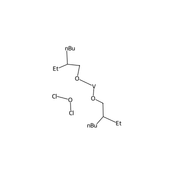 CCCCC(CC)C[O][V][O]CC(CC)CCCC.ClOCl